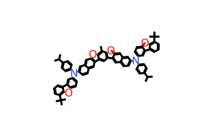 Cc1c2oc3cc4cc(N(c5ccc(C(C)C)cc5)c5ccc6oc7c(C(C)(C)C)cccc7c6c5)ccc4cc3c2cc2c1oc1cc3cc(N(c4ccc(C(C)C)cc4)c4ccc5oc6c(C(C)(C)C)cccc6c5c4)ccc3cc12